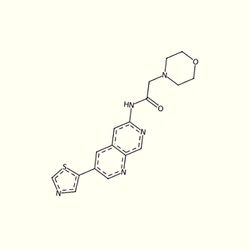 O=C(CN1CCOCC1)Nc1cc2cc(-c3cncs3)cnc2cn1